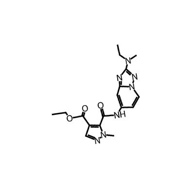 CCOC(=O)c1cnn(C)c1C(=O)Nc1ccn2nc(N(C)CC)nc2c1